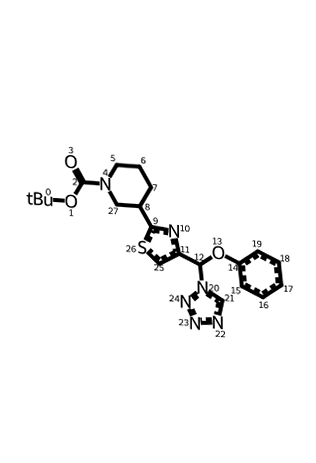 CC(C)(C)OC(=O)N1CCCC(c2nc(C(Oc3ccccc3)n3cnnn3)cs2)C1